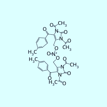 CC(=O)n1c(CO[N+](=O)OCc2c(C(=O)c3ccc(C)cc3)n(C(C)=O)c(=O)n2C(C)=O)c(C(=O)c2ccc(C)cc2)n(C(C)=O)c1=O